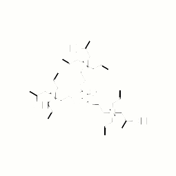 C=CC[N+](CC=C)(CCOP(=O)(OCC[N+](CC=C)(CC=C)CC(=C)O)OCC[N+](CC=C)(CC=C)CC(=C)O)CC(=C)O